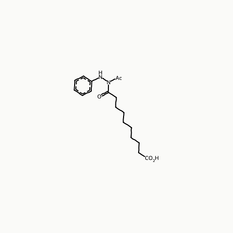 CC(=O)N(Nc1ccccc1)C(=O)CCCCCCCCC(=O)O